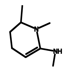 CNC1=CCCC(C)N1C